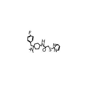 CN(C)C1(Cc2ccc(F)cc2)CCC(NC(=O)CSc2ncccn2)CC1